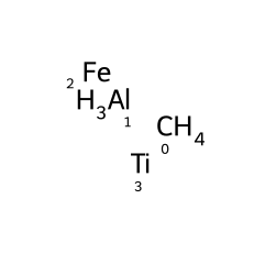 C.[AlH3].[Fe].[Ti]